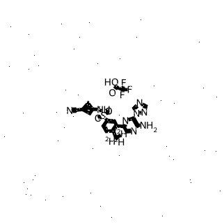 O=C(O)C(F)(F)F.[2H]C([2H])([2H])c1ccc(S(=O)(=O)NC23CC(C#N)(C2)C3)cc1-c1cnc(N)c(-n2cncn2)n1